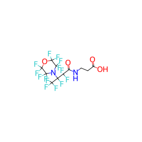 O=C(O)CCNC(=O)C(F)(F)C(F)(N1C(F)(F)C(F)(F)OC(F)(F)C1(F)F)C(F)(F)F